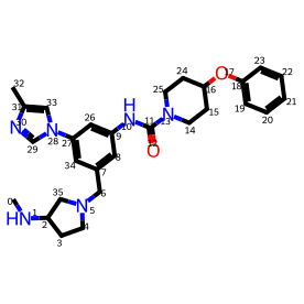 CNC1CCN(Cc2cc(NC(=O)N3CCC(Oc4ccccc4)CC3)cc(-n3cnc(C)c3)c2)C1